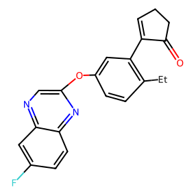 CCc1ccc(Oc2cnc3cc(F)ccc3n2)cc1C1=CCCC1=O